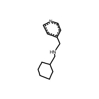 c1cc(CNCC2CCCCC2)ccn1